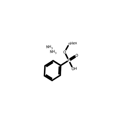 CCCCCCOP(=O)(O)c1ccccc1.N.N